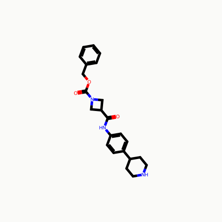 O=C(Nc1ccc(C2CCNCC2)cc1)C1CN(C(=O)OCc2ccccc2)C1